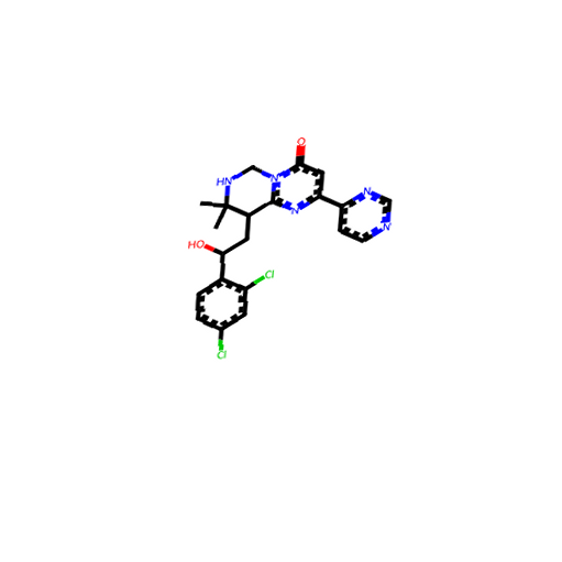 CC1(C)NCn2c(nc(-c3ccncn3)cc2=O)C1CC(O)c1ccc(Cl)cc1Cl